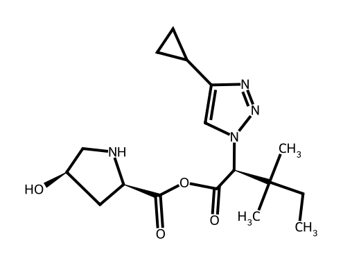 CCC(C)(C)[C@@H](C(=O)OC(=O)[C@H]1C[C@@H](O)CN1)n1cc(C2CC2)nn1